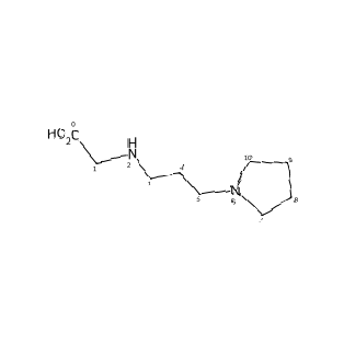 O=C(O)CNCCCN1CCCC1